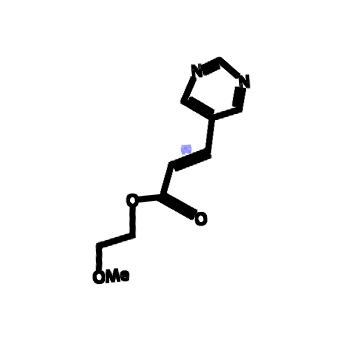 COCCOC(=O)/C=C/c1cncnc1